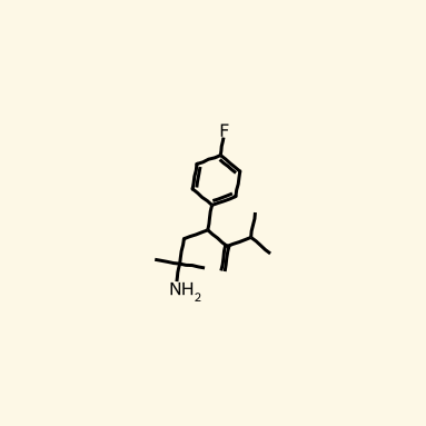 C=C(C(C)C)C(CC(C)(C)N)c1ccc(F)cc1